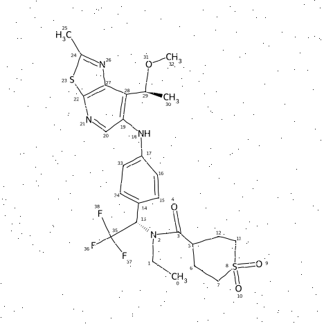 CCN(C(=O)C1CCS(=O)(=O)CC1)[C@@H](c1ccc(Nc2cnc3sc(C)nc3c2[C@H](C)OC)cc1)C(F)(F)F